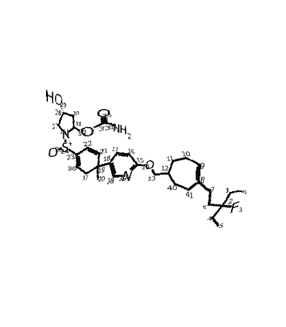 CCC(F)(CC)CCC1=CCCC(COc2ccc(C3(C)C=CC([S+]([O-])N4C[C@H](O)CC4OC(N)=O)=CC3)cn2)CC1